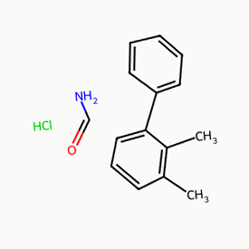 Cc1cccc(-c2ccccc2)c1C.Cl.NC=O